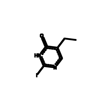 CCc1cnc(I)[nH]c1=O